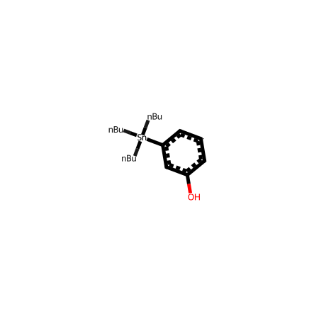 CCC[CH2][Sn]([CH2]CCC)([CH2]CCC)[c]1c[c]cc(O)c1